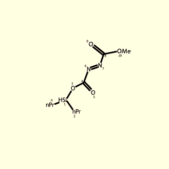 CCC[SiH](CCC)OC(=O)N=NC(=O)OC